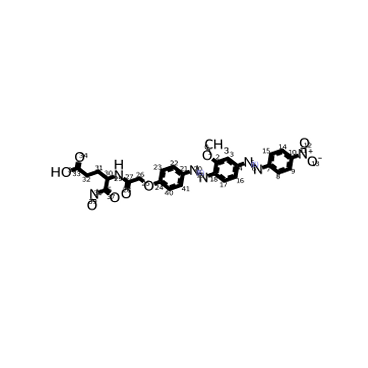 COc1cc(/N=N/c2ccc([N+](=O)[O-])cc2)ccc1/N=N/c1ccc(OCC(=O)NC(CCC(=O)O)C(=O)N=O)cc1